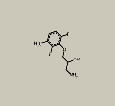 Cc1ccc(F)c(OCC(O)CN)c1F